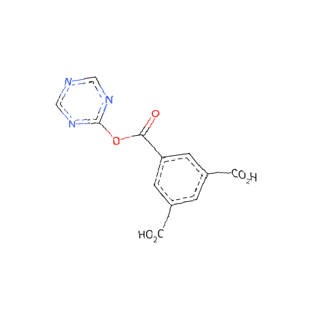 O=C(O)c1cc(C(=O)O)cc(C(=O)Oc2ncncn2)c1